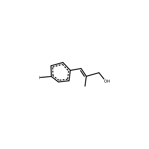 C/C(=C\c1ccc(I)cc1)CO